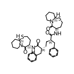 O=C(N[C@H]1CCS[C@H]2CCCCN2C1=O)[C@H](CC[C@H](Cc1ccccc1)C(=O)N[C@H]1CCS[C@H]2CCCCN2C1=O)Cc1ccccc1